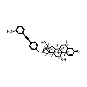 C[C@]12C=CC(=O)C=C1[C@@H](F)C[C@H]1[C@@H]3C[C@H]4O[C@@H](Cc5ccc(C#Cc6cccc(N)c6)cc5)O[C@@]4(C(=O)CO)[C@@]3(C)C[C@H](O)[C@@]12F